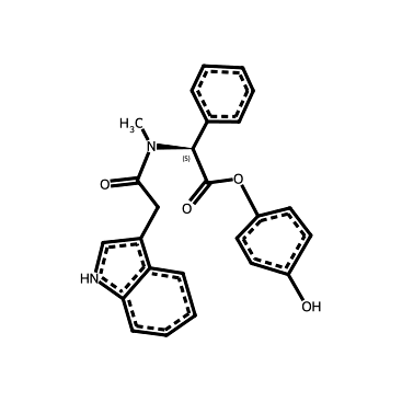 CN(C(=O)Cc1c[nH]c2ccccc12)[C@H](C(=O)Oc1ccc(O)cc1)c1ccccc1